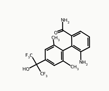 Cc1cc(C(O)(C(F)(F)F)C(F)(F)F)cc(C)c1-c1c(N)cccc1C(N)=O